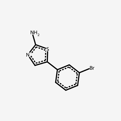 Nc1ncc(-c2cccc(Br)c2)s1